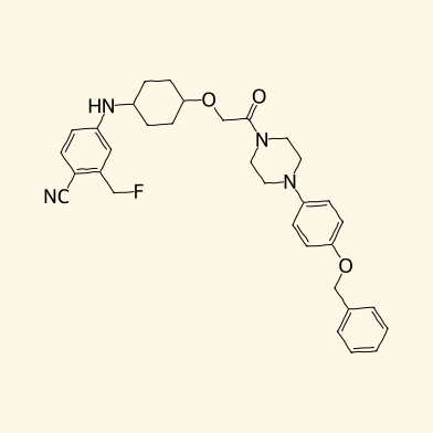 N#Cc1ccc(NC2CCC(OCC(=O)N3CCN(c4ccc(OCc5ccccc5)cc4)CC3)CC2)cc1CF